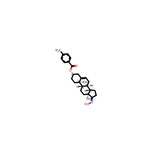 Cc1ccc(C(=O)O[C@H]2CC[C@@]3(C)C(=CC[C@@H]4[C@@H]3CC[C@]3(C)/C(=N\O)CC[C@@H]43)C2)cc1